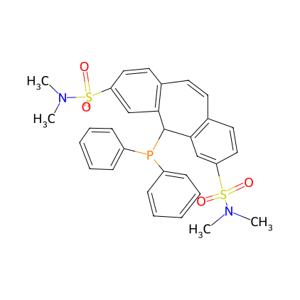 CN(C)S(=O)(=O)c1ccc2c(c1)C(P(c1ccccc1)c1ccccc1)c1cc(S(=O)(=O)N(C)C)ccc1C=C2